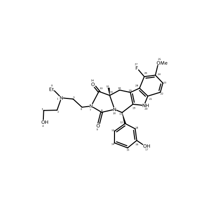 CCN(CCO)CCN1C(=O)N2[C@H](c3cccc(O)c3)c3[nH]c4ccc(OC)c(F)c4c3C[C@@]2(C)C1=O